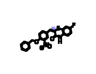 O=C1Nc2ccc(F)cc2S/C1=C/c1ccc(OCc2ccccc2)c([N+](=O)[O-])c1